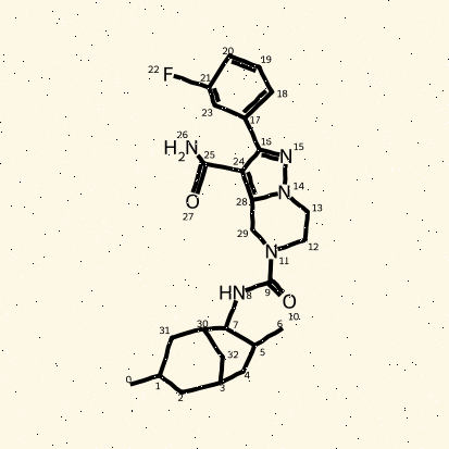 CC1CC2CC(C)C(NC(=O)N3CCn4nc(-c5cccc(F)c5)c(C(N)=O)c4C3)C(C1)C2